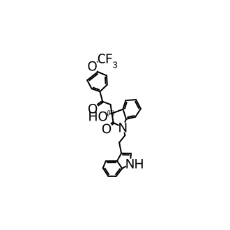 O=C(C[C@]1(O)C(=O)N(CCc2c[nH]c3ccccc23)c2ccccc21)c1ccc(OC(F)(F)F)cc1